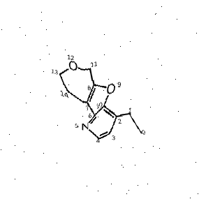 CCc1ccnc2c3c(oc12)COCC3